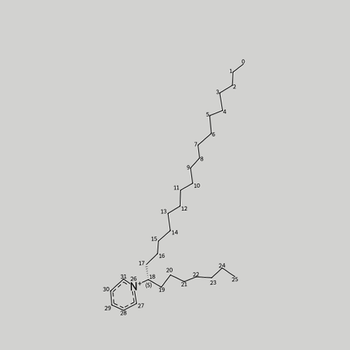 CCCCCCCCCCCCCCCCCC[C@H](CCCCCCC)[n+]1ccccc1